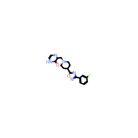 O=c1[nH]ccnc1CN1CCC(c2nc(-c3cccc(F)c3)no2)CC1